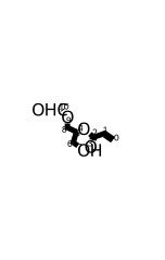 C=CC(=O)OC(CO)COC=O